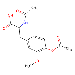 COc1cc(CC(NC(C)=O)C(=O)O)ccc1OC(C)=O